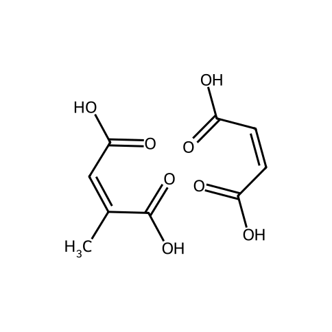 C/C(=C/C(=O)O)C(=O)O.O=C(O)/C=C\C(=O)O